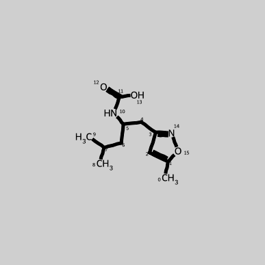 Cc1cc(CC(CC(C)C)NC(=O)O)no1